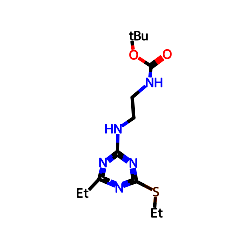 CCSc1nc(CC)nc(NCCNC(=O)OC(C)(C)C)n1